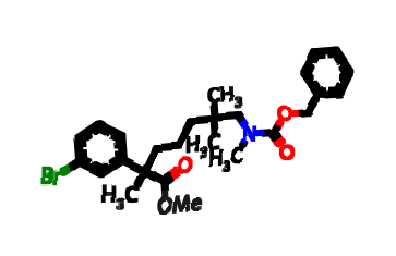 COC(=O)C(C)(CCCC(C)(C)CN(C)C(=O)OCc1ccccc1)c1cccc(Br)c1